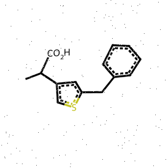 CC(C(=O)O)c1csc(Cc2ccccc2)c1